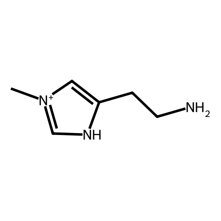 C[n+]1c[nH]c(CCN)c1